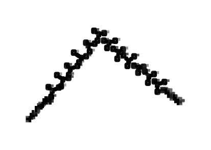 [H+].[H+].[H+].[H+].[H+].[H+].[H+].[H+].[H+].[H+].[H+].[H+].[KH].[KH].[O-]B([O-])[O-].[O-]B([O-])[O-].[O-]B([O-])[O-].[O-]B([O-])[O-].[O-]B([O-])[O-].[O-]B([O-])[O-].[O-]B([O-])[O-].[O-]B([O-])[O-].[O-]B([O-])[O-].[O-]B([O-])[O-].[O-]B([O-])[O-].[O-]B([O-])[O-]